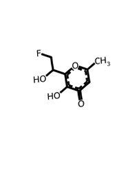 Cc1cc(=O)c(O)c(C(O)CF)o1